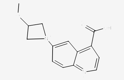 COC1CN(c2ccc3nccc(C(=O)O)c3c2)C1